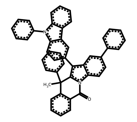 CC1(c2ccccc2)c2ccccc2C(=O)n2c1c(-c1ccc3c(c1)c1ccccc1n3-c1ccccc1)c1cc(-c3ccccc3)ccc12